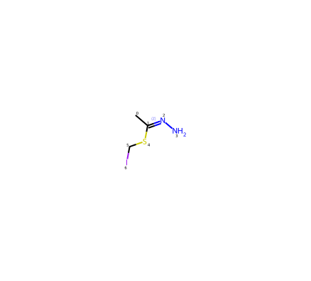 C/C(=N/N)SCI